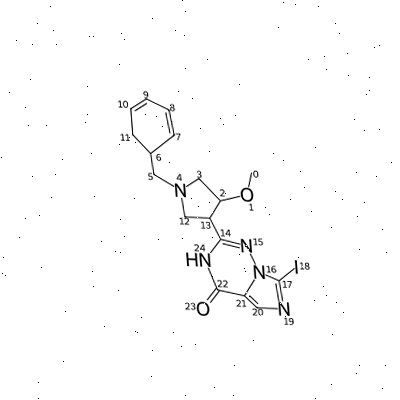 COC1CN(CC2C=CC=CC2)CC1c1nn2c(I)ncc2c(=O)[nH]1